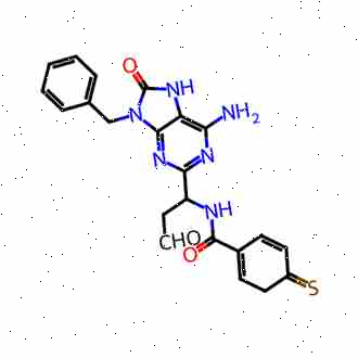 Nc1nc(C(CC=O)NC(=O)C2=CCC(=S)C=C2)nc2c1[nH]c(=O)n2Cc1ccccc1